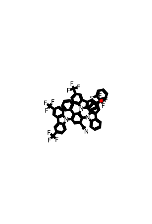 N#Cc1cc(-n2c3ccc(C(F)(F)F)cc3c3cc(C(F)(F)F)ccc32)c(-c2ccccc2)c(-n2c3ccc(C(F)(F)F)cc3c3cc(C(F)(F)F)ccc32)c1-n1c2ccccc2c2cc3c(cc21)sc1ccccc13